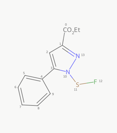 CCOC(=O)c1cc(-c2ccccc2)n(SF)n1